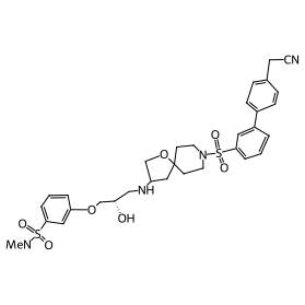 CNS(=O)(=O)c1cccc(OC[C@@H](O)CNC2COC3(CCN(S(=O)(=O)c4cccc(-c5ccc(CC#N)cc5)c4)CC3)C2)c1